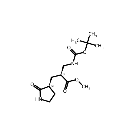 COC(=O)[C@H](CNC(=O)OC(C)(C)C)C[C@H]1CCNC1=O